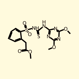 COC(=O)Cc1ccccc1S(=O)(=O)NC(=S)Nc1nc(OC)nc(OC)n1